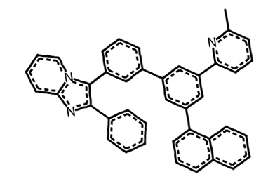 Cc1cccc(-c2cc(-c3cccc(-c4c(-c5ccccc5)nc5ccccn45)c3)cc(-c3cccc4ccccc34)c2)n1